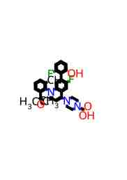 Cc1cccc(C(C)C)c1N1C(=C=O)C=C(N2CCN(C(=O)O)CC2)c2cc(F)c(-c3c(O)cccc3F)cc21